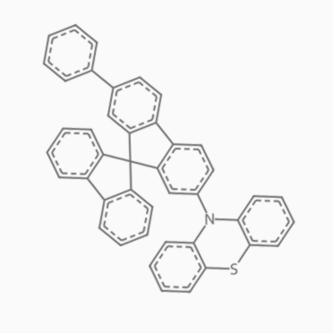 c1ccc(-c2ccc3c(c2)C2(c4ccccc4-c4ccccc42)c2cc(N4c5ccccc5Sc5ccccc54)ccc2-3)cc1